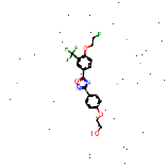 OCCOc1ccc(-c2noc(-c3ccc(OCCF)c(C(F)(F)F)c3)n2)cc1